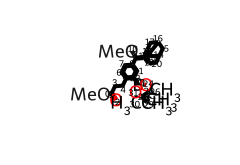 COC(=O)CCc1ccc(C(OC)=C2C3CC4CC(C3)CC2C4)cc1B1OC(C)(C)C(C)(C)O1